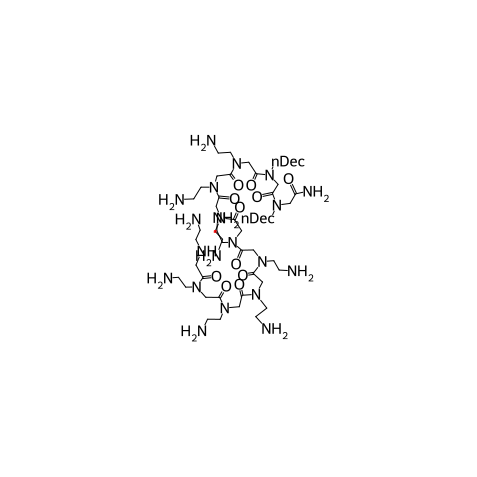 CCCCCCCCCCN(CC(N)=O)C(=O)CN(CCCCCCCCCC)C(=O)CN(CCN)C(=O)CN(CCN)C(=O)CN(CCN)C(=O)CN(CCN)C(=O)CN(CCN)C(=O)CN(CCN)C(=O)CN(CCN)C(=O)CN(CCN)C(=O)CNCCN